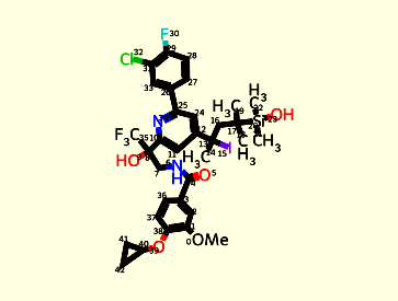 COc1cc(C(=O)NCC(O)(c2cc(C(C)(I)CC(C)(C)[Si](C)(C)O)cc(-c3ccc(F)c(Cl)c3)n2)C(F)(F)F)ccc1OC1CC1